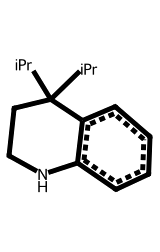 CC(C)C1(C(C)C)CCNc2ccccc21